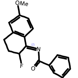 COc1ccc2c(c1)CCC(F)/C2=N\C(=O)c1ccccc1